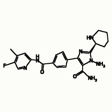 Cc1cc(NC(=O)c2ccc(-c3nc([C@@H]4CCCCN4)n(N)c3C(N)=O)cc2)ncc1F